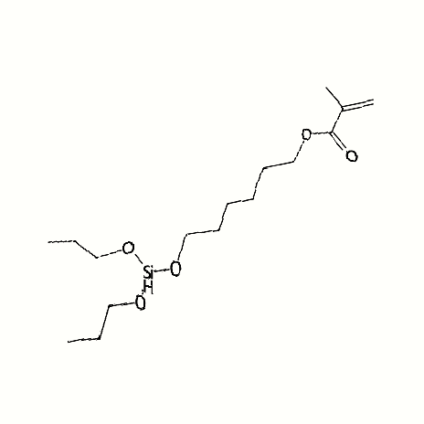 C=C(C)C(=O)OCCCCCCO[SiH](OCCC)OCCC